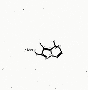 COCc1nn2ccnc(C)c2c1C